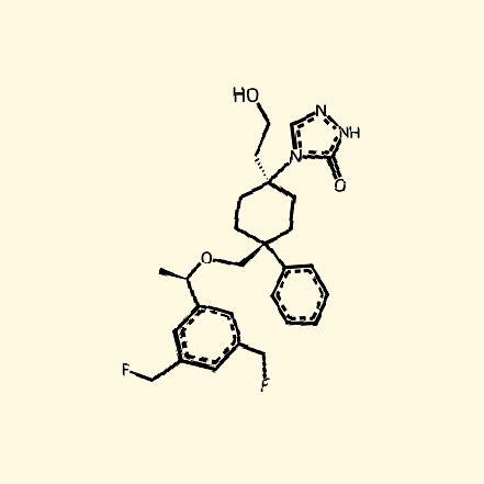 C[C@@H](OC[C@]1(c2ccccc2)CC[C@](CCO)(n2cn[nH]c2=O)CC1)c1cc(CF)cc(CF)c1